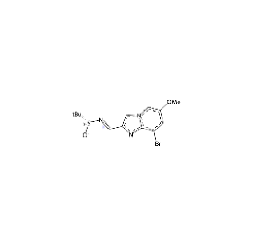 COc1cc(Br)c2nc(/C=N/[S@+]([O-])C(C)(C)C)cn2c1